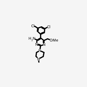 COCc1nc(N2CCN(C)CC2)nc(N)c1-c1cc(Cl)cc(Cl)c1